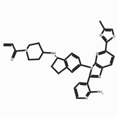 C=CC(=O)N1CCC(N[C@H]2CCc3cc(-n4c(-c5cccnc5N)nc5ccc(-c6nc(C)co6)nc54)ccc32)CC1